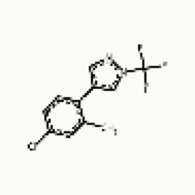 Cc1cc(Cl)ccc1-c1cnn(C(F)(F)F)c1